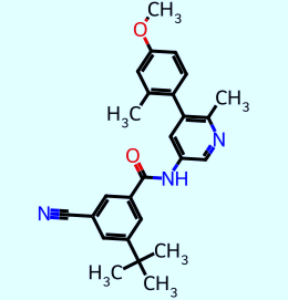 COc1ccc(-c2cc(NC(=O)c3cc(C#N)cc(C(C)(C)C)c3)cnc2C)c(C)c1